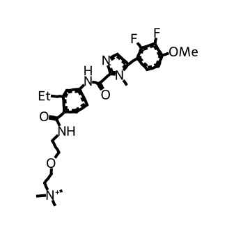 CCc1cc(NC(=O)c2ncc(-c3ccc(OC)c(F)c3F)n2C)ccc1C(=O)NCCOCC[N+](C)(C)C